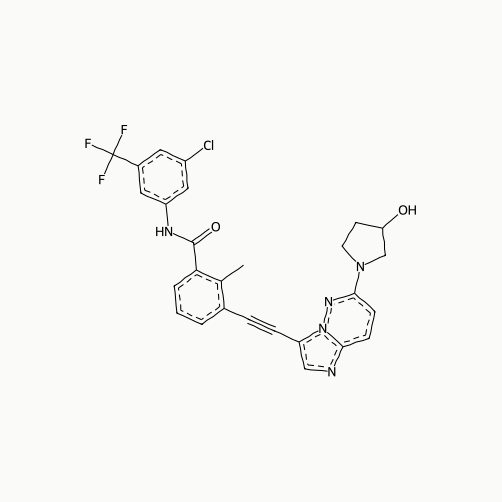 Cc1c(C#Cc2cnc3ccc(N4CCC(O)C4)nn23)cccc1C(=O)Nc1cc(Cl)cc(C(F)(F)F)c1